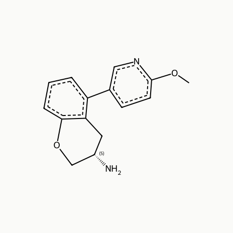 COc1ccc(-c2cccc3c2C[C@H](N)CO3)cn1